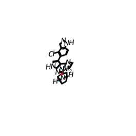 NC1C[C@H]2CC[C@@H](C1)N2c1nc2[nH]cc(-c3ccc4[nH]ncc4c3Cl)c2c2nccn12